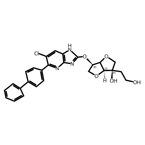 OCC[C@@]1(O)COC2[C@H](Oc3nc4nc(-c5ccc(-c6ccccc6)cc5)c(Cl)cc4[nH]3)CO[C@@H]21